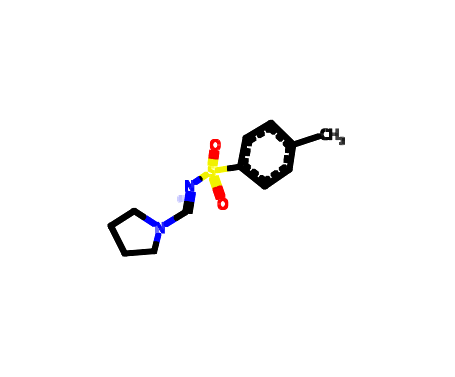 Cc1ccc(S(=O)(=O)/N=C/N2CCCC2)cc1